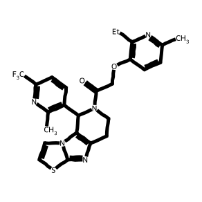 CCc1nc(C)ccc1OCC(=O)N1CCc2nc3sccn3c2C1c1ccc(C(F)(F)F)nc1C